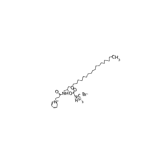 CCCCCCCCCCCCCCCCCCOCC(CNC(=O)CC[n+]1ccccc1)OC(=O)NC.[Br-]